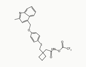 Cc1cc(COc2ccc(SCC3(CC(=O)NOC(=O)C(F)(F)F)CCC3)cc2)c2ccccc2n1